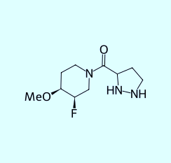 CO[C@H]1CCN(C(=O)C2CCNN2)C[C@H]1F